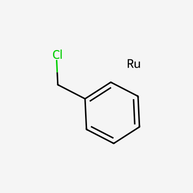 ClCc1ccccc1.[Ru]